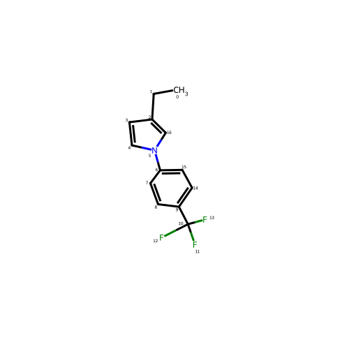 CCc1ccn(-c2ccc(C(F)(F)F)cc2)c1